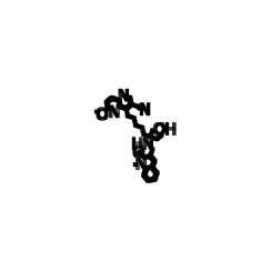 CCC(CO)(CCCCCc1c(C#N)cnc2ccc(OC)nc12)NCc1cc2ccccc2n(C)c1=O